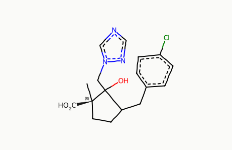 C[C@@]1(C(=O)O)CCC(Cc2ccc(Cl)cc2)C1(O)Cn1cncn1